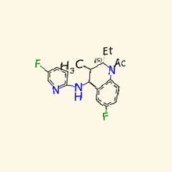 CC[C@H]1C(C)C(Nc2ccc(F)cn2)c2cc(F)ccc2N1C(C)=O